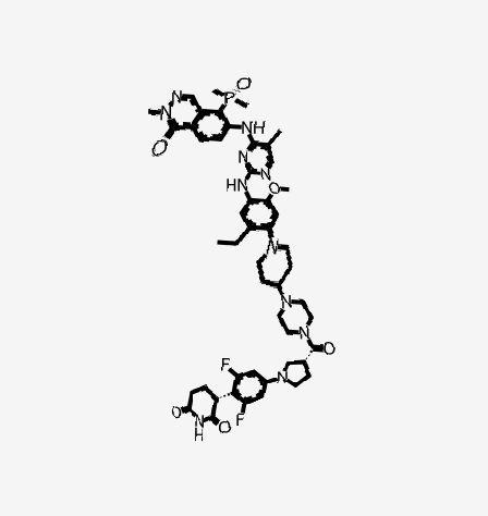 CCc1cc(Nc2ncc(C)c(Nc3ccc4c(=O)n(C)ncc4c3P(C)(C)=O)n2)c(OC)cc1N1CCC(N2CCN(C(=O)[C@@H]3CCN(c4cc(F)c([C@H]5CCC(=O)NC5=O)c(F)c4)C3)CC2)CC1